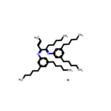 CC=CC(=Nc1cc(CCCCC)cc(CCCCC)c1)C(CCCCC)=Nc1cc(CCCCC)cc(CCCCC)c1.[Ni]